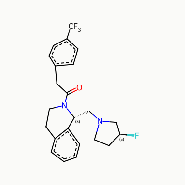 O=C(Cc1ccc(C(F)(F)F)cc1)N1CCc2ccccc2[C@H]1CN1CC[C@H](F)C1